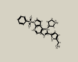 O=S(=O)(c1ccccc1)n1ccc2c1ncc1nc(-c3ccc(CO)o3)n(C3CCNC3)c12